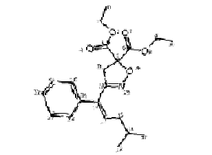 CCOC(=O)C1(C(=O)OCC)CC(C(=CCC(C)C)c2ccccc2)=NO1